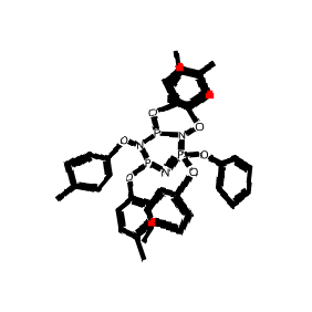 Cc1ccc(ON2P(Oc3ccc(C)cc3)N=P(Oc3ccccc3)(Oc3ccc(C)cc3)N(Oc3ccc(C)cc3)P2Oc2ccc(C)cc2)cc1